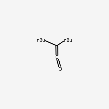 CCCCC(=C=O)CCCC